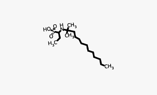 CCCCCCCCCCCC(C)(C)NC(CC)S(=O)(=O)O